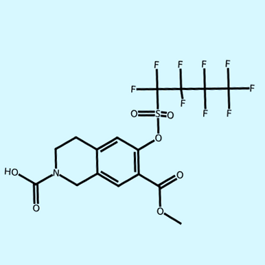 COC(=O)c1cc2c(cc1OS(=O)(=O)C(F)(F)C(F)(F)C(F)(F)C(F)(F)F)CCN(C(=O)O)C2